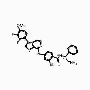 CCc1cc(Nc2nccn3c(-c4ccc(OC)c(F)c4F)cnc23)ccc1C(=O)N[C@@H](CN)c1ccccc1